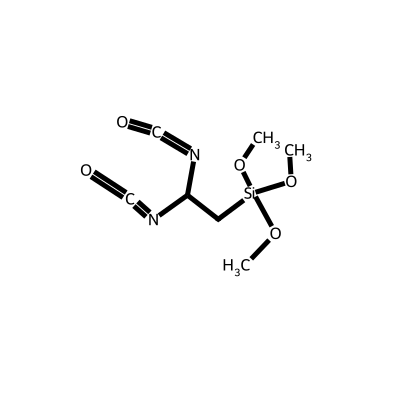 CO[Si](CC(N=C=O)N=C=O)(OC)OC